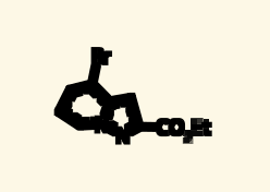 CCOC(=O)c1cc2c(Br)cccn2n1